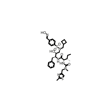 CC[C@H](C)[C@H](NC(=O)N(C)Cc1csc(C)n1)C(=O)N[C@@H](Cc1ccccc1)[C@@H](O)CN(CC1CCC1)S(=O)(=O)c1ccc(C=NO)cc1